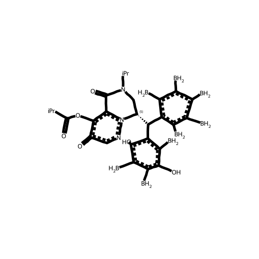 Bc1c(B)c(B)c(C(c2c(B)c(O)c(B)c(B)c2O)[C@H]2CN(C(C)C)C(=O)c3c(OC(=O)C(C)C)c(=O)cnn32)c(B)c1B